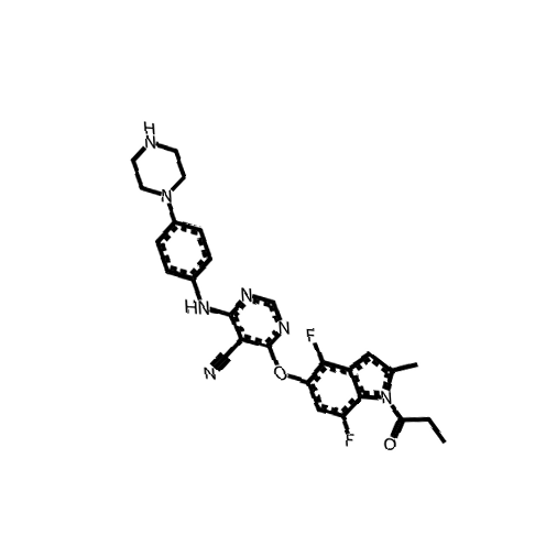 CCC(=O)n1c(C)cc2c(F)c(Oc3ncnc(Nc4ccc(N5CCNCC5)cc4)c3C#N)cc(F)c21